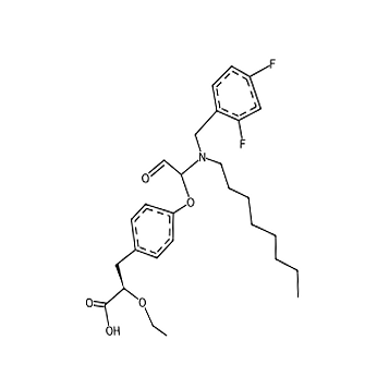 CCCCCCCCN(Cc1ccc(F)cc1F)C(C=O)Oc1ccc(C[C@@H](OCC)C(=O)O)cc1